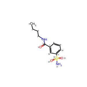 CCCCNC(=O)c1cccc(S(N)(=O)=O)c1